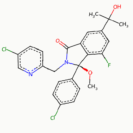 CO[C@]1(c2ccc(Cl)cc2)c2c(F)cc(C(C)(C)O)cc2C(=O)N1Cc1ccc(Cl)cn1